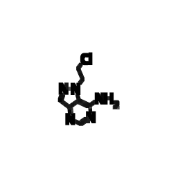 Nc1ncnc2cnn(CCCl)c12